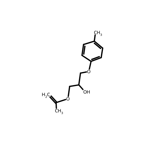 C=C(C)OCC(O)COc1ccc(C)cc1